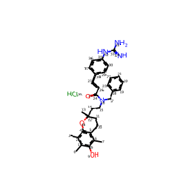 Cc1c(C)c2c(c(C)c1O)CCC(C)(CCN(Cc1ccccc1)C(=O)C=Cc1ccc(NC(=N)N)cc1)O2.Cl